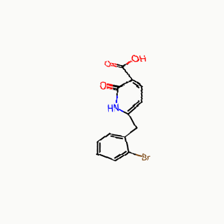 O=C(O)c1ccc(Cc2ccccc2Br)[nH]c1=O